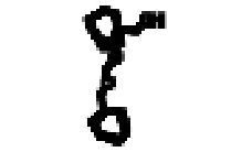 OCC12CCCC(CC1)C2OCOCc1ccccc1